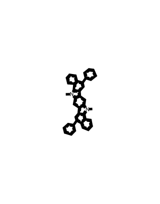 Cn1c2cc3c4cc(-c5ccccc5)c5ccccc5c4n(C)c3cc2c2cc(-c3ccccc3)c3ccccc3c21